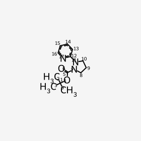 CC(C)(C)OC(=O)N1CCCN1c1ccccn1